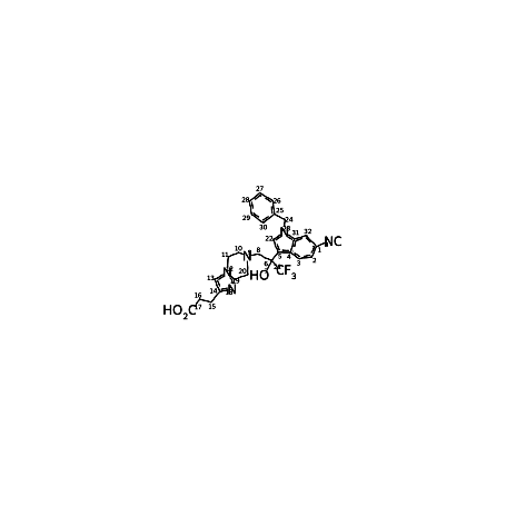 [C-]#[N+]c1ccc2c(C(O)(CN3CCn4cc(CCC(=O)O)nc4C3)C(F)(F)F)cn(Cc3ccccc3)c2c1